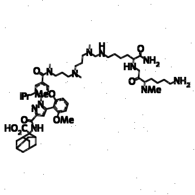 CNC(CCCCN)C(=O)CNC(CCCCNCN(C)CCCN(C)CCCN(C)C(=O)c1ccc(-n2nc(C(=O)NC3(C(=O)O)C4CC5CC(C4)CC3C5)cc2-c2c(OC)cccc2OC)c(C(C)C)c1)C(N)=O